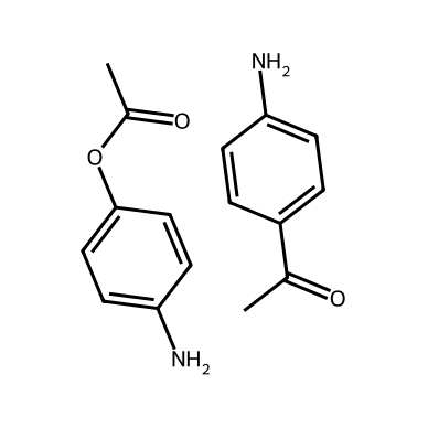 CC(=O)Oc1ccc(N)cc1.CC(=O)c1ccc(N)cc1